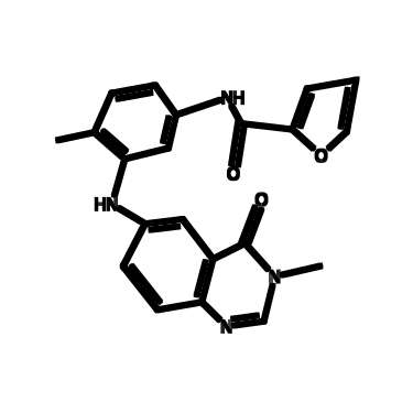 Cc1ccc(NC(=O)c2ccco2)cc1Nc1ccc2ncn(C)c(=O)c2c1